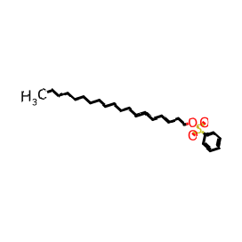 CCCCCCCCCCCCCCCCCCCOS(=O)(=O)c1ccccc1